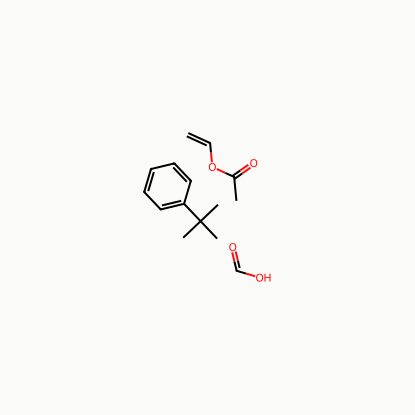 C=COC(C)=O.CC(C)(C)c1ccccc1.O=CO